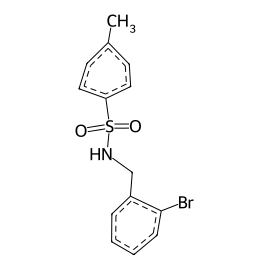 Cc1ccc(S(=O)(=O)NCc2ccccc2Br)cc1